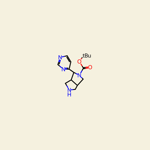 CC(C)(C)OC(=O)N1CC2CNCC2C1c1ccncn1